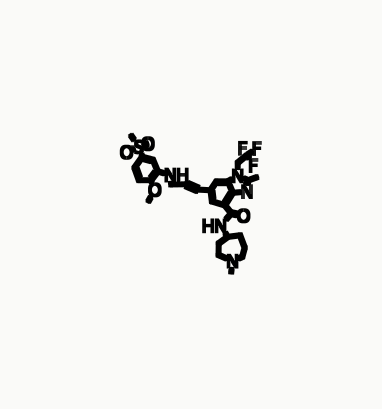 COc1ccc(S(C)(=O)=O)cc1NCC#Cc1cc(C(=O)NC2CCCN(C)CC2)c2nc(C)n(CC(F)(F)F)c2c1